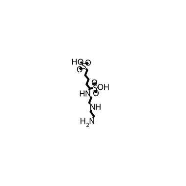 NCCNCCNC(CCCCS(=O)(=O)O)S(=O)(=O)O